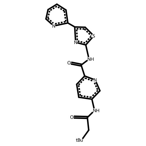 CC(C)(C)CC(=O)Nc1ccc(C(=O)Nc2nc(-c3ccccn3)cs2)nc1